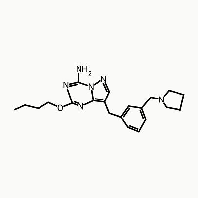 CCCCOc1nc(N)n2ncc(Cc3cccc(CN4CCCC4)c3)c2n1